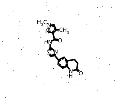 Cc1cn(C)nc1C(=O)Nc1nc(-c2ccc3c(c2)CCC(=O)N3)cs1